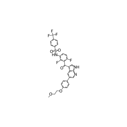 COCCOc1ccc(-c2cnc3[nH]cc(C(=O)c4c(F)ccc(NS(=O)(=O)c5ccc(C(F)(F)F)cc5)c4F)c3c2)cc1